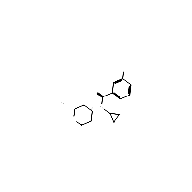 N#C[C@@H]1C[C@H](N(C(=O)c2cccc(C(F)(F)F)c2)C2CC2)CCO1